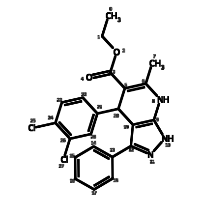 CCOC(=O)C1=C(C)Nc2[nH]nc(-c3ccccc3)c2C1c1ccc(Cl)c(Cl)c1